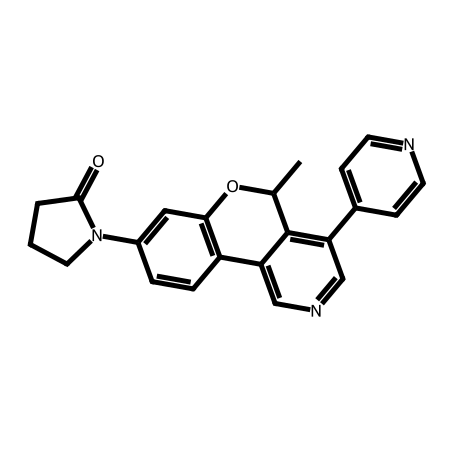 CC1Oc2cc(N3CCCC3=O)ccc2-c2cncc(-c3ccncc3)c21